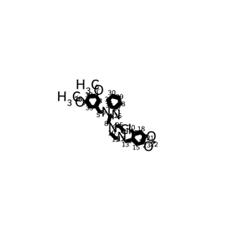 COc1cc(Cn2c(CN3CCN(Cc4cc5c(cc4Cl)OCO5)CC3)nc3ccccc32)cc(OC)c1